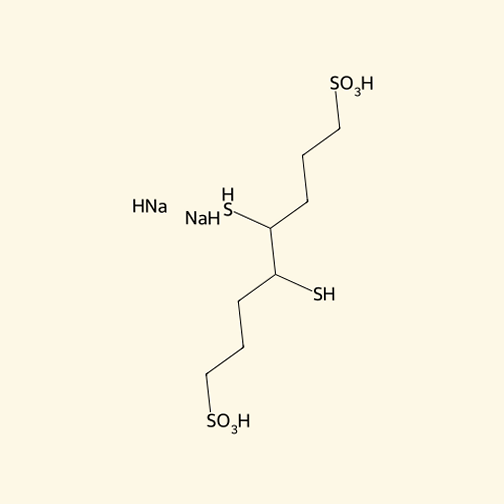 O=S(=O)(O)CCCC(S)C(S)CCCS(=O)(=O)O.[NaH].[NaH]